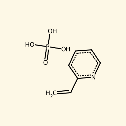 C=Cc1ccccn1.O=P(O)(O)O